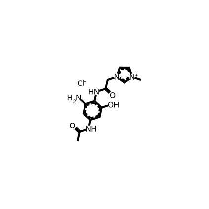 CC(=O)Nc1cc(N)c(NC(=O)Cn2cc[n+](C)c2)c(O)c1.[Cl-]